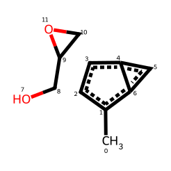 Cc1ccc2cc1-2.OCC1CO1